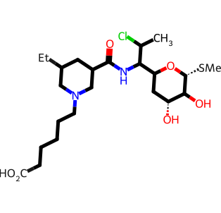 CCC1CC(C(=O)NC(C(C)Cl)C2C[C@@H](O)C(O)[C@@H](SC)O2)CN(CCCCCC(=O)O)C1